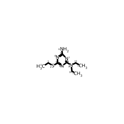 CCSc1nc(N)nc(N(CC)CC)n1